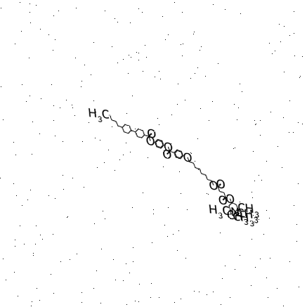 CCCCCC1CCC(C2CCC(C(=O)Oc3ccc(OC(=O)c4ccc(OCCCCCCCCOC(=O)CCC(=O)OC5CC(C)(C)N(C)C(C)(C)C5)cc4)cc3)CC2)CC1